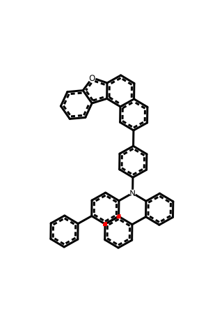 c1ccc(-c2ccc(N(c3ccc(-c4ccc5ccc6oc7ccccc7c6c5c4)cc3)c3ccccc3-c3ccccc3)cc2)cc1